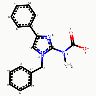 CN(C(=O)O)c1nc(-c2ccccc2)cn1Cc1ccccc1